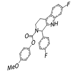 COc1ccc(OC(=O)N2CCc3c([nH]c4cc(F)ccc34)C2c2ccc(F)cc2)cc1